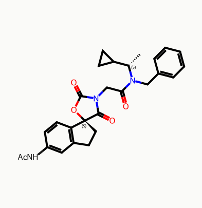 CC(=O)Nc1ccc2c(c1)CC[C@]21OC(=O)N(CC(=O)N(Cc2ccccc2)[C@@H](C)C2CC2)C1=O